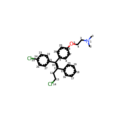 CN(C)CCOc1ccc(C(=C(CCCl)c2ccccc2)c2ccc(Cl)cc2)cc1